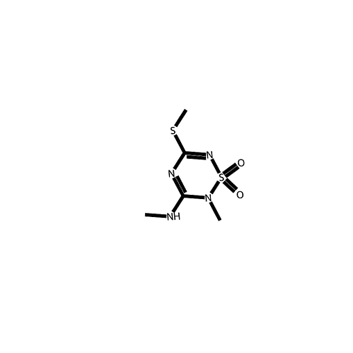 CNC1=NC(SC)=NS(=O)(=O)N1C